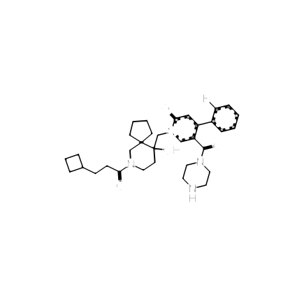 O=C(CCC1CCC1)N1CCC(O)(Cn2cc(C(=O)N3CCNCC3)c(-c3ccccc3F)cc2=O)C2(CCCC2)C1